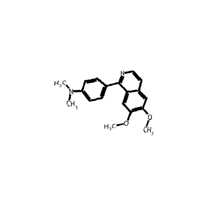 COc1cc2ccnc(-c3ccc(N(C)C)cc3)c2cc1OC